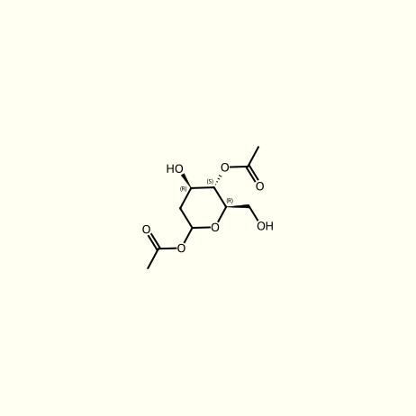 CC(=O)OC1C[C@@H](O)[C@H](OC(C)=O)[C@@H](CO)O1